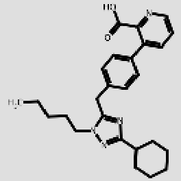 CCCCCn1nc(C2CCCCC2)nc1Cc1ccc(-c2cccnc2C(=O)O)cc1